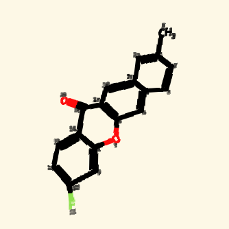 Cc1ccc2cc3oc4cc(F)ccc4c(=O)c3cc2c1